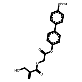 C=C(CO)C(=O)OCC(=O)Oc1ccc(-c2ccc(CCCCC)cc2)cc1